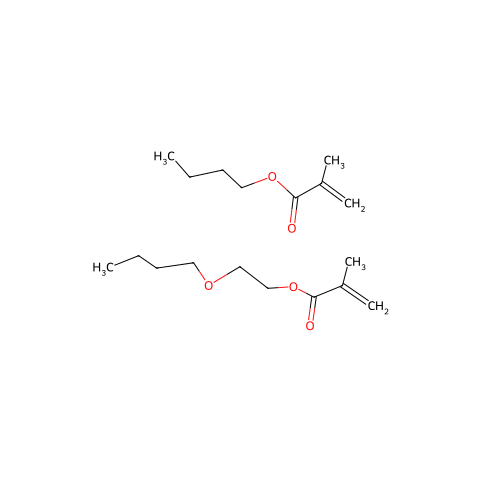 C=C(C)C(=O)OCCCC.C=C(C)C(=O)OCCOCCCC